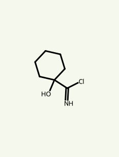 N=C(Cl)C1(O)CCCCC1